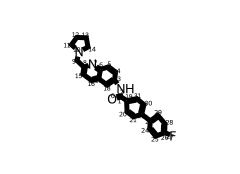 O=C(Nc1ccc2nc(CN3CCCC3)ccc2c1)c1ccc(-c2ccc(F)cc2)cc1